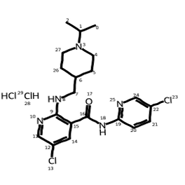 CC(C)N1CCC(CNc2ncc(Cl)cc2C(=O)Nc2ccc(Cl)cn2)CC1.Cl.Cl